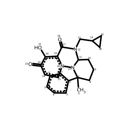 CC1(c2ccccc2)CCCC2N(CC3CC3)C(=O)c3c(O)c(=O)ccn3N21